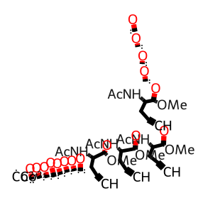 C#CCC([N-]C(C)=O)C(=O)OC.C#CCC([N-]C(C)=O)C(=O)OC.C#CCC([N-]C(C)=O)C(=O)OC.C#CCC([N-]C(C)=O)C(=O)OC.[C]=O.[C]=O.[C]=O.[C]=O.[C]=O.[C]=O.[C]=O.[C]=O.[C]=O.[C]=O.[C]=O.[C]=O.[Co+2].[Co+2]